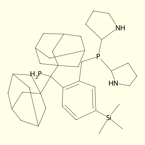 C[Si](C)(C)c1ccc(C(P)(C23CC4CC(CC(C4)C2)C3)C23CC4CC(CC(C4)C2)C3)c(CP(C2CCCN2)C2CCCN2)c1